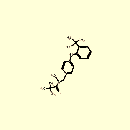 CC(C)(C)C(=O)N(O)Cc1ccc(Nc2ccccc2C(C)(C)C)cc1